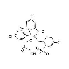 CS(=O)(=O)c1cc(Cl)ccc1CN1C(=O)c2cc(Br)cc(F)c2C1(OCC1(CO)CC1)c1ccc(Cl)cc1